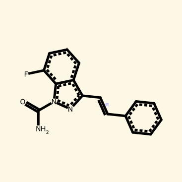 NC(=O)n1nc(/C=C/c2ccccc2)c2c[c]cc(F)c21